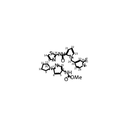 COC(=O)Nc1ccc(N2CCC[C@@H]2c2csc(NC(=O)c3cccn3Cc3ccnc(F)c3)n2)nc1